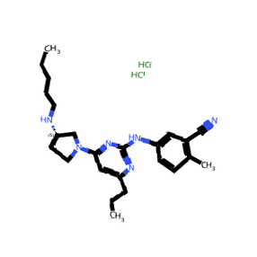 CCCCCN[C@H]1CCN(c2cc(CCC)nc(Nc3ccc(C)c(C#N)c3)n2)C1.Cl.Cl